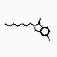 COCCOCCN1Cc2cc(Br)ccc2C1=O